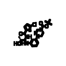 C[C@@H](O)C(NC(=O)c1ccc(Cl)s1)Nc1cccc(N2CCN(C(=O)OC(C)(C)C)C=N2)c1